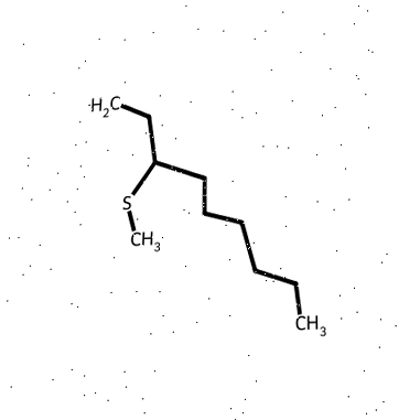 [CH2]CC(CCCCCC)SC